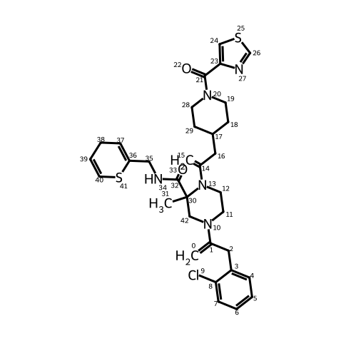 C=C(Cc1ccccc1Cl)N1CCN(C(=C)CC2CCN(C(=O)c3cscn3)CC2)C(C)(C(=O)NCC2=CCC=CS2)C1